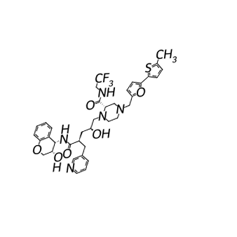 Cc1ccc(-c2ccc(CN3CCN(C[C@@H](O)C[C@@H](Cc4cccnc4)C(=O)N[C@H]4c5ccccc5OC[C@H]4O)[C@H](C(=O)NCC(F)(F)F)C3)o2)s1